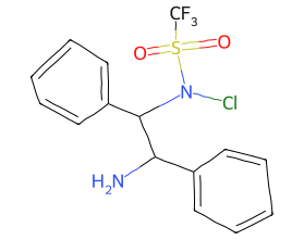 NC(c1ccccc1)C(c1ccccc1)N(Cl)S(=O)(=O)C(F)(F)F